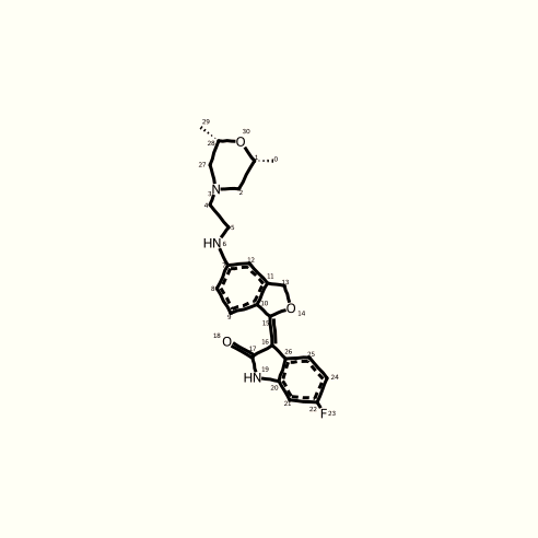 C[C@@H]1CN(CCNc2ccc3c(c2)CO/C3=C2/C(=O)Nc3cc(F)ccc32)C[C@H](C)O1